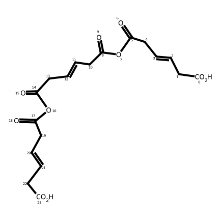 O=C(O)CC=CCC(=O)OC(=O)CC=CCC(=O)OC(=O)CC=CCC(=O)O